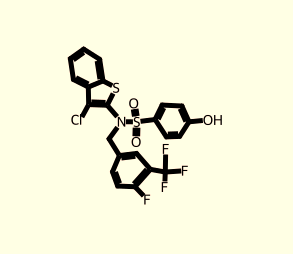 O=S(=O)(c1ccc(O)cc1)N(Cc1ccc(F)c(C(F)(F)F)c1)c1sc2ccccc2c1Cl